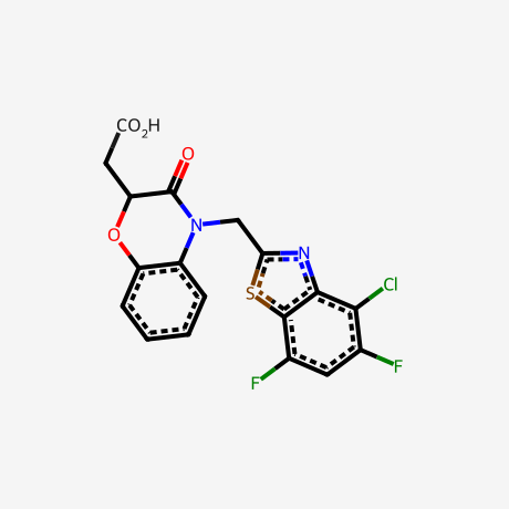 O=C(O)CC1Oc2ccccc2N(Cc2nc3c(Cl)c(F)cc(F)c3s2)C1=O